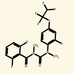 CN(C(=O)c1c(F)cccc1F)C(=O)N(C)c1ccc(SC(F)(F)C(F)F)cc1F